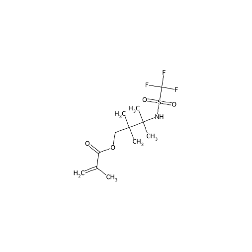 C=C(C)C(=O)OCC(C)(C)C(C)(C)NS(=O)(=O)C(F)(F)F